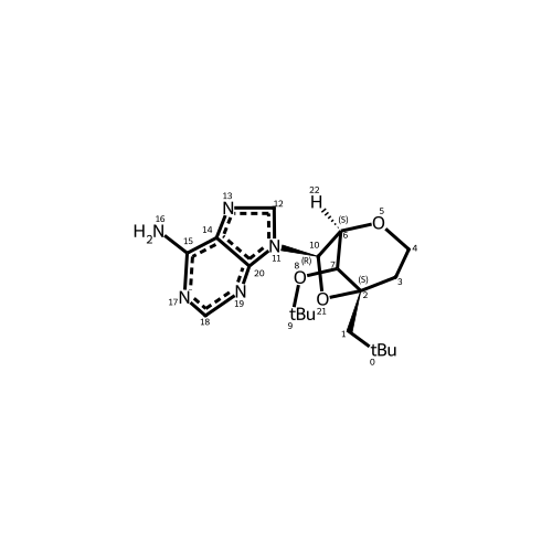 CC(C)(C)C[C@]12CCO[C@@H](C1OC(C)(C)C)[C@H](n1cnc3c(N)ncnc31)O2